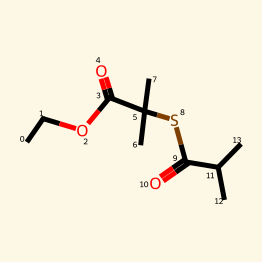 CCOC(=O)C(C)(C)SC(=O)C(C)C